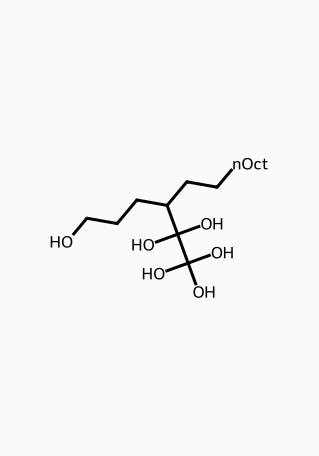 CCCCCCCCCCC(CCCO)C(O)(O)C(O)(O)O